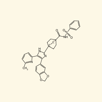 Cc1cccc(-c2[nH]c(C34CCC(C(=O)NS(=O)(=O)c5ccccc5)(CC3)CC4)nc2-c2ccc3c(c2)OCO3)n1